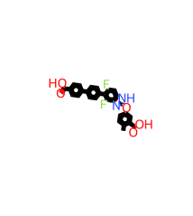 Cc1ccc(Oc2nc3c(F)c(-c4ccc(-c5ccc(C(=O)O)cc5)cc4)c(F)cc3[nH]2)cc1C(=O)O